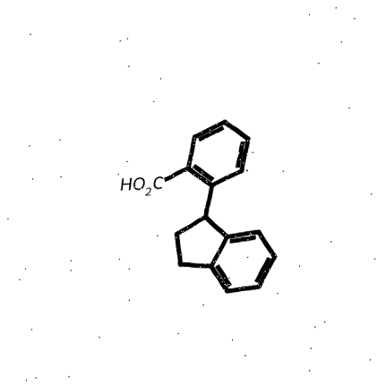 O=C(O)c1ccc[c]c1C1CCc2ccccc21